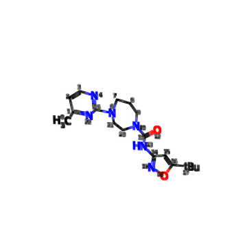 Cc1ccnc(N2CCCN(C(=O)Nc3cc(C(C)(C)C)on3)CC2)n1